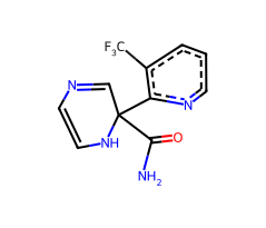 NC(=O)C1(c2ncccc2C(F)(F)F)C=NC=CN1